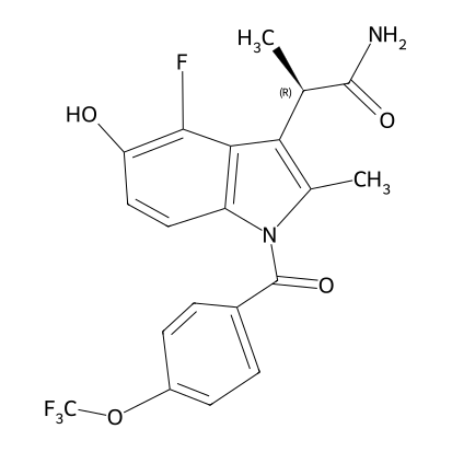 Cc1c([C@@H](C)C(N)=O)c2c(F)c(O)ccc2n1C(=O)c1ccc(OC(F)(F)F)cc1